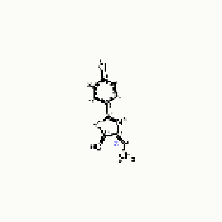 C/C=C1/N=C(c2ccc(Cl)cc2)OC1=O